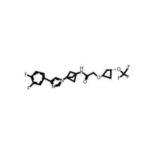 O=C(CO[C@H]1C[C@@H](OC(F)(F)F)C1)NC12CC(n3cnc(-c4ccc(F)c(F)c4)c3)(C1)C2